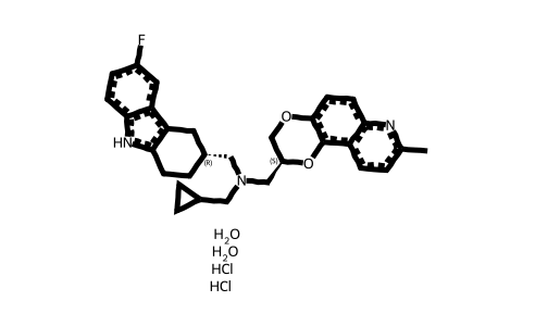 Cc1ccc2c3c(ccc2n1)OC[C@H](CN(CC1CC1)C[C@@H]1CCc2[nH]c4ccc(F)cc4c2C1)O3.Cl.Cl.O.O